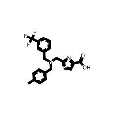 Cc1ccc(CN(Cc2cccc(C(F)(F)F)c2)Cc2nc(C(=O)O)cs2)cc1